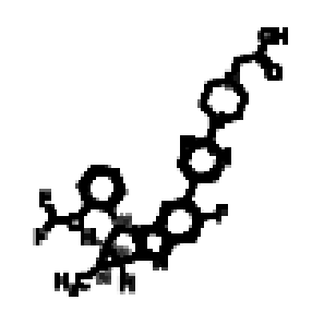 C[C@@H]1[C@@H]2c3nc4cc(F)c(-c5cnc(N6CCN(CC(=O)O)CC6)nc5)cc4n3[C@@H](c3ccccc3OC(F)F)[C@H]12